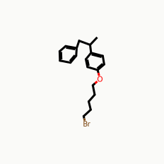 CC(Cc1ccccc1)c1ccc(OCCCCCBr)cc1